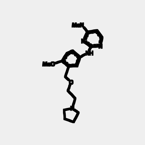 CNc1ccnc(Nc2ccc(OC)c(COCCN3CCCC3)c2)n1